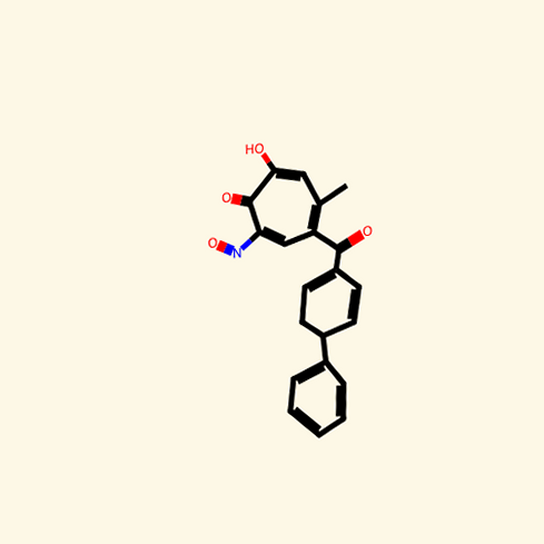 Cc1cc(O)c(=O)c(N=O)cc1C(=O)C1=CCC(c2ccccc2)C=C1